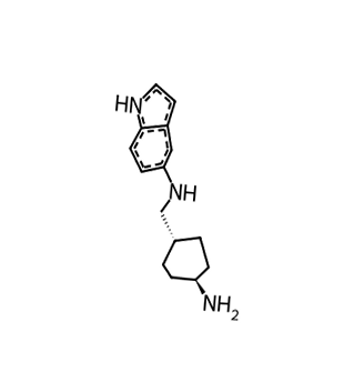 N[C@H]1CC[C@H](CNc2ccc3[nH]ccc3c2)CC1